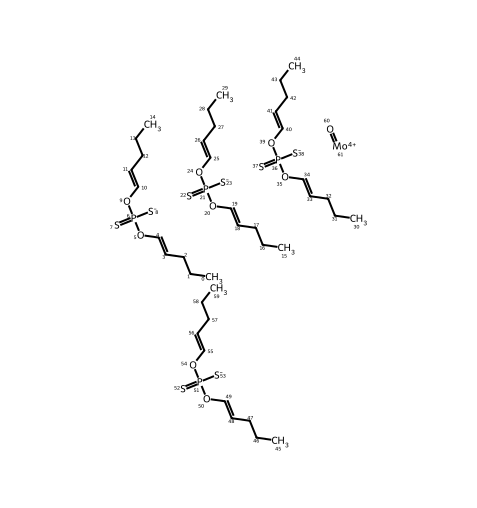 CCCC=COP(=S)([S-])OC=CCCC.CCCC=COP(=S)([S-])OC=CCCC.CCCC=COP(=S)([S-])OC=CCCC.CCCC=COP(=S)([S-])OC=CCCC.[O]=[Mo+4]